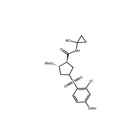 COc1ccc(S(=O)(=O)C2C[C@H](OC)[C@@H](C(=O)NC3(C#N)CC3)C2)c(Cl)c1